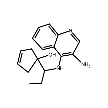 CCC(Nc1c(N)cnc2ccccc12)C1(O)CC=CC1